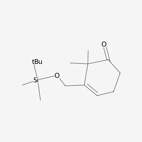 CC1(C)C(=O)CCC=C1CO[Si](C)(C)C(C)(C)C